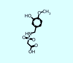 COc1ccc(CNS(=O)(=O)CC(=O)O)cc1O